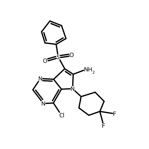 Nc1c(S(=O)(=O)c2ccccc2)c2ncnc(Cl)c2n1C1CCC(F)(F)CC1